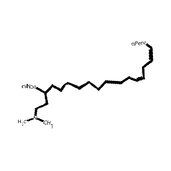 CCCCC/C=C\C/C=C\CCCCCCCCCC(CCCCCCCCC)CCN(C)C